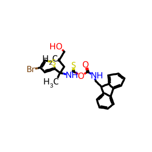 C=C(CO)CC(C)(NC(=S)OC(=O)NCC1c2ccccc2-c2ccccc21)c1cc(Br)cs1